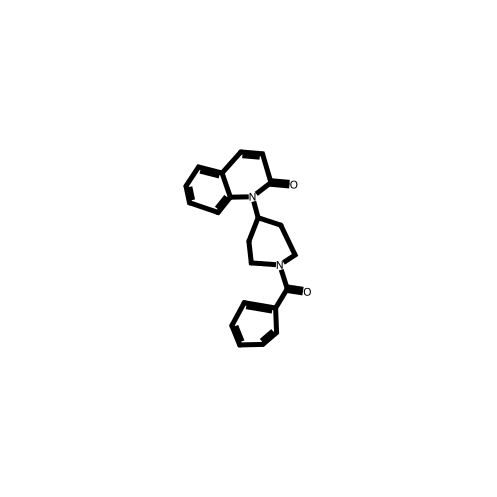 O=C(c1ccccc1)N1CCC(n2c(=O)ccc3ccccc32)CC1